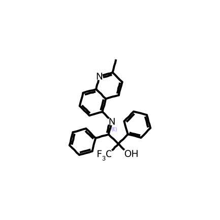 Cc1ccc2c(/N=C(\c3ccccc3)C(O)(c3ccccc3)C(F)(F)F)cccc2n1